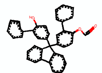 O=COc1ccc(C2(c3ccc(O)c(-c4ccccc4)c3)c3ccccc3-c3ccccc32)cc1-c1ccccc1